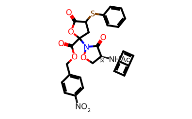 CC(=O)N[C@H]1CON(C2(C(=O)OCc3ccc([N+](=O)[O-])cc3)CC(Sc3ccccc3)C(=O)O2)C1=O.c1cc2ccc1-2